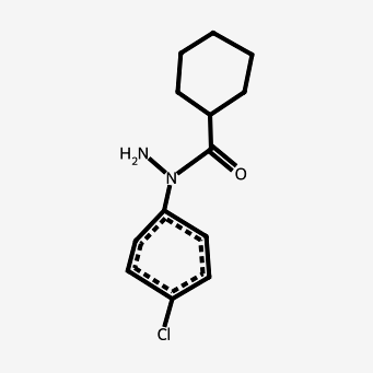 NN(C(=O)C1CCCCC1)c1ccc(Cl)cc1